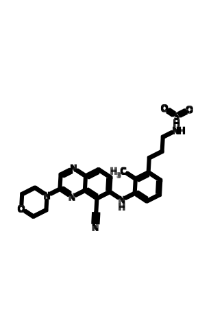 Cc1c(CCCN[SH](=O)=O)cccc1Nc1ccc2ncc(N3CCOCC3)nc2c1C#N